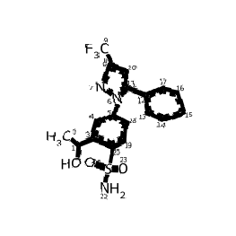 CC(O)c1cc(-n2nc(C(F)(F)F)cc2-c2ccccc2)ccc1S(N)(=O)=O